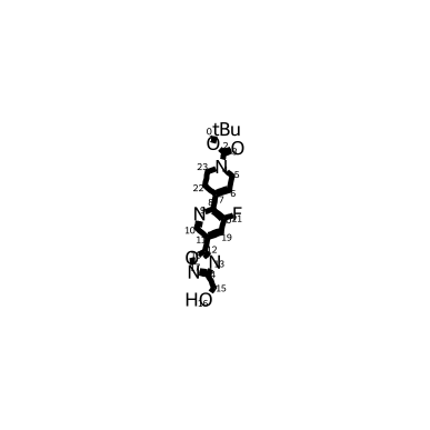 CC(C)(C)OC(=O)N1CC=C(c2ncc(-c3nc(CO)no3)cc2F)CC1